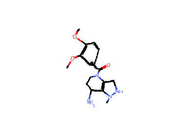 COc1ccc(C(=O)N2CCC(N)C3=C2CNN3C)cc1OC